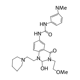 CNc1cccc(NC(=O)Nc2ccc3c(c2)C(=O)N(CCOC)C(O)N3CCN2CCCCC2)c1